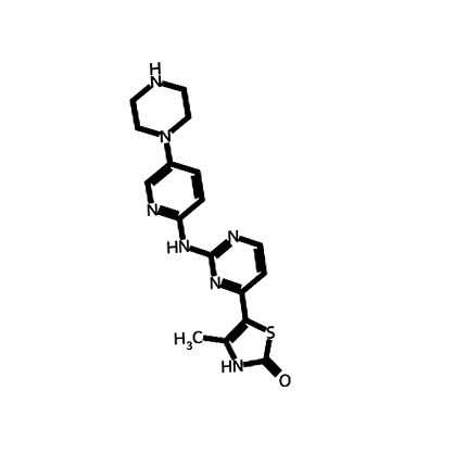 Cc1[nH]c(=O)sc1-c1ccnc(Nc2ccc(N3CCNCC3)cn2)n1